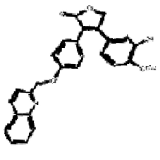 COc1ccc(C2=C(c3ccc(OCc4ccc5ccccc5n4)cc3)C(=O)OC2)cc1C#N